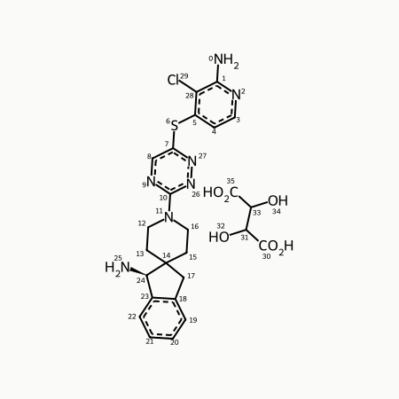 Nc1nccc(Sc2cnc(N3CCC4(CC3)Cc3ccccc3[C@H]4N)nn2)c1Cl.O=C(O)C(O)C(O)C(=O)O